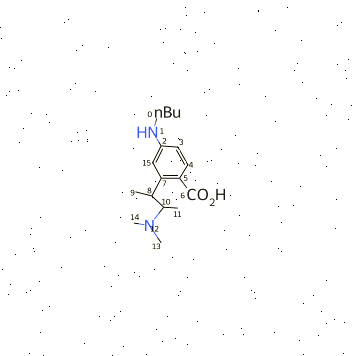 CCCCNc1ccc(C(=O)O)c(C(C)C(C)N(C)C)c1